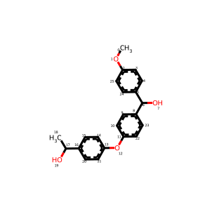 COc1ccc(C(O)c2ccc(Oc3ccc(C(C)O)cc3)cc2)cc1